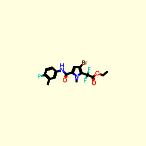 CCOC(=O)C(F)(F)c1c(Br)cc(C(=O)Nc2ccc(F)c(C)c2)n1C